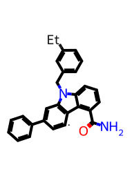 CCc1cccc(Cn2c3cc(-c4ccccc4)c[c]c3c3c(C(N)=O)cccc32)c1